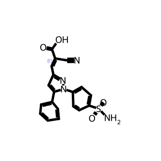 N#C/C(=C\c1cc(-c2ccccc2)n(-c2ccc(S(N)(=O)=O)cc2)n1)C(=O)O